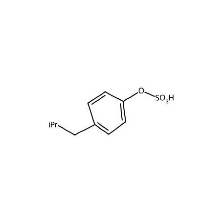 CC(C)Cc1ccc(OS(=O)(=O)O)cc1